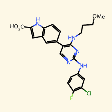 COCCCNc1nc(Nc2ccc(F)c(Cl)c2)ncc1-c1ccc2[nH]c(C(=O)O)cc2c1